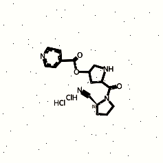 Cl.Cl.N#C[C@@H]1CCCN1C(=O)C1CC(OC(=O)c2ccncc2)CN1